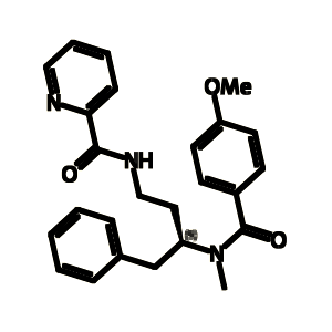 COc1ccc(C(=O)N(C)[C@H](CCNC(=O)c2ccccn2)Cc2ccccc2)cc1